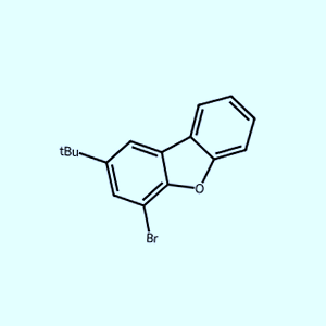 CC(C)(C)c1cc(Br)c2oc3ccccc3c2c1